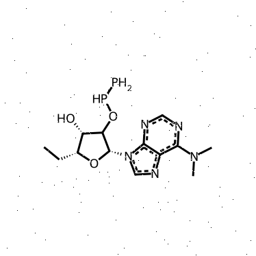 CC[C@H]1O[C@@H](n2cnc3c(N(C)C)ncnc32)C(OPP)[C@H]1O